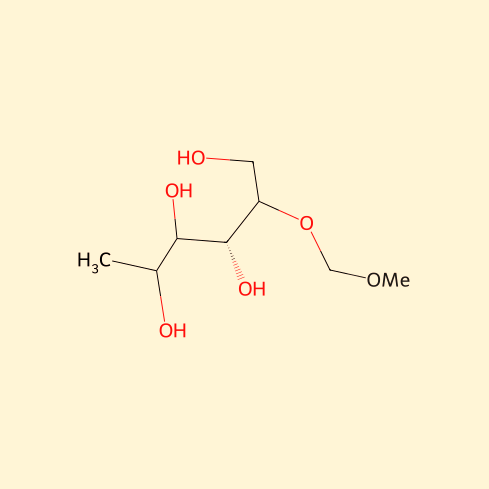 COCOC(CO)[C@H](O)C(O)C(C)O